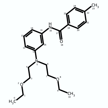 CCOCCN(CCOCC)c1cccc(NC(=O)c2ccc(C)cc2)c1